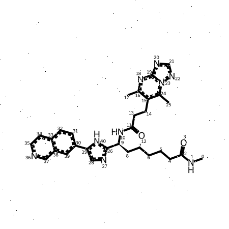 CNC(=O)CCCCC[C@H](NC(=O)CCc1c(C)nc2ncnn2c1C)c1ncc(-c2ccc3ccncc3c2)[nH]1